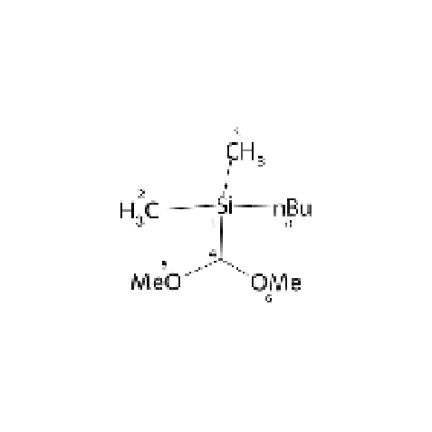 CCCC[Si](C)(C)C(OC)OC